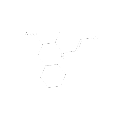 CCC/C=C/NC(C)C(CC1CCCCC1)OC